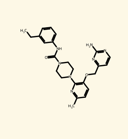 CCc1cccc(NC(=O)N2CCN(c3nc(C)ccc3OCc3ccnc(N)n3)CC2)c1